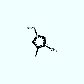 CCCCCCn1cc(C(C)(C)C)[n+](C)c1